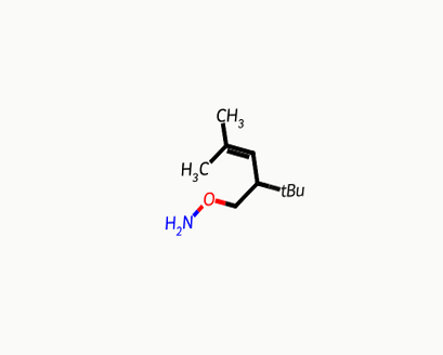 CC(C)=CC(CON)C(C)(C)C